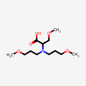 COCCCN(CCCOC)C(COC)C(=O)O